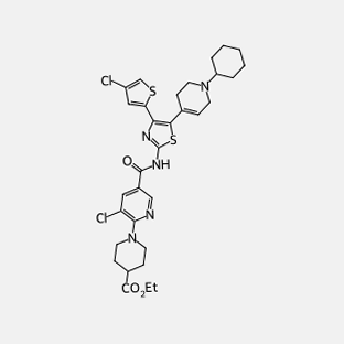 CCOC(=O)C1CCN(c2ncc(C(=O)Nc3nc(-c4cc(Cl)cs4)c(C4=CCN(C5CCCCC5)CC4)s3)cc2Cl)CC1